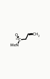 C=C[CH][13C](=O)NC